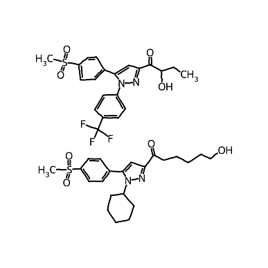 CCC(O)C(=O)c1cc(-c2ccc(S(C)(=O)=O)cc2)n(-c2ccc(C(F)(F)F)cc2)n1.CS(=O)(=O)c1ccc(-c2cc(C(=O)CCCCCO)nn2C2CCCCC2)cc1